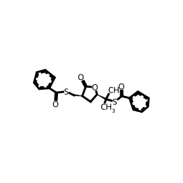 CC(C)(SC(=O)c1ccccc1)[C@H]1C[C@@H](CSC(=O)c2ccccc2)C(=O)O1